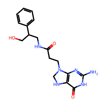 Nc1nc2c(c(=O)[nH]1)NCN2CCC(=O)NCC(CO)c1ccccc1